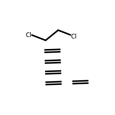 C=C.C=C.C=C.C=C.C=C.ClCCCl